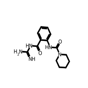 N=C(N)NC(=O)c1ccccc1NC(=O)N1CCCCC1